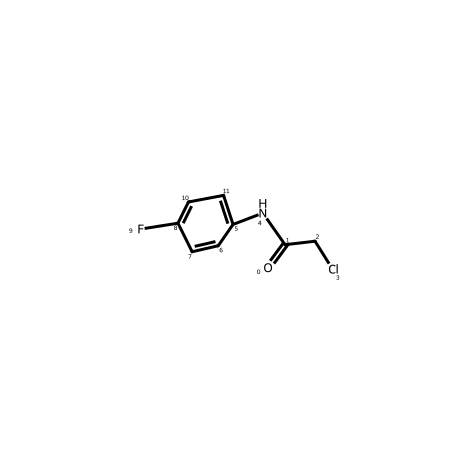 O=C(CCl)Nc1ccc(F)cc1